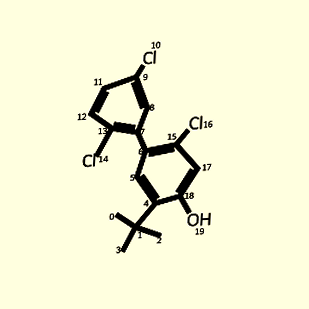 CC(C)(C)c1cc(-c2cc(Cl)ccc2Cl)c(Cl)cc1O